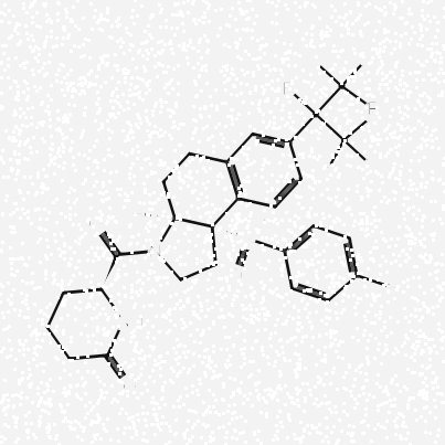 O=C1CCC[C@@H](C(=O)N2CC[C@]3(S(=O)(=O)c4ccc(F)cc4)c4ccc(C(F)(C(F)(F)F)C(F)(F)F)cc4CC[C@H]23)N1